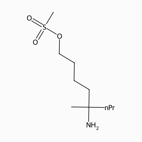 CCCC(C)(N)CCCCOS(C)(=O)=O